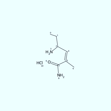 CCC(N)C=C(C)C(N)=O.Cl